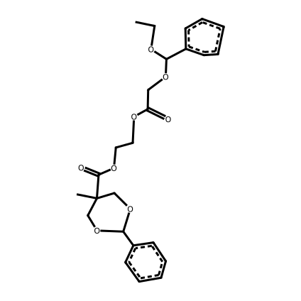 CCOC(OCC(=O)OCCOC(=O)C1(C)COC(c2ccccc2)OC1)c1ccccc1